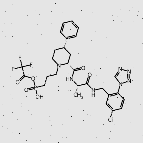 C[C@H](NC(=O)[C@H]1C[C@@H](c2ccccc2)CCN1CCCP(=O)(O)OC(=O)C(F)(F)F)C(=O)NCc1cc(Cl)ccc1-n1cnnn1